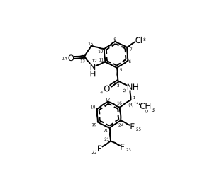 C[C@@H](NC(=O)c1cc(Cl)cc2c1NC(=O)C2)c1cccc(C(F)F)c1F